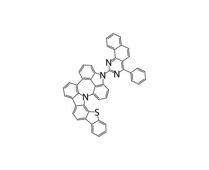 c1ccc(-c2nc(-n3c4cccc5c6cccc7c8ccc9c%10ccccc%10sc9c8n(c8cccc3c8c54)c67)nc3c2ccc2ccccc23)cc1